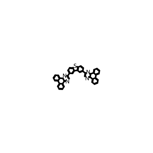 c1ccc2c(c1)c1ccccc1c1nc(-c3ccc4sc5ccc(-c6cnc7c8ccccc8c8ccccc8c7n6)cc5c4c3)cnc21